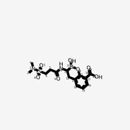 CN(C)S(=O)(=O)CCC(=O)NC1Cc2cccc(C(=O)O)c2OB1O